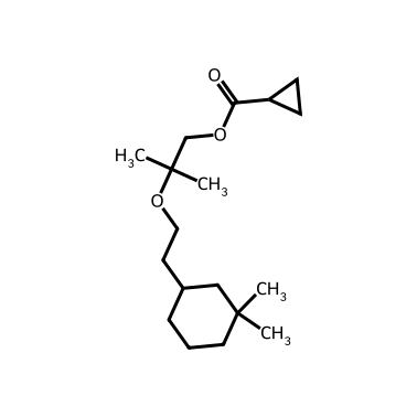 CC1(C)CCCC(CCOC(C)(C)COC(=O)C2CC2)C1